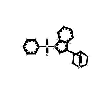 O=S(=O)(c1ccccc1)n1cc(C2=CN3CCC2CC3)c2ccccc21